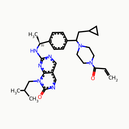 C=CC(=O)N1CCN(C(CC2CC2)c2ccc([C@H](C)Nc3ncc4cnc(=O)n(CC(C)C)c4n3)cc2)CC1